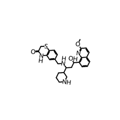 COc1ccc2cccc(C(O)CC(NCc3ccc4c(c3)NC(=O)CS4)C3CCCNC3)c2n1